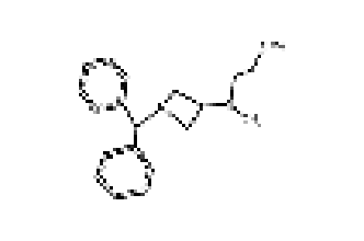 COCCN(C)C1CN(C(c2ccccc2)c2ccccc2)C1